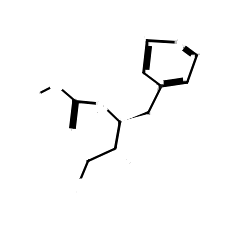 CC(C)(C)OC(=O)N[C@@H](Cc1ccncc1)[C@H](O)CCl